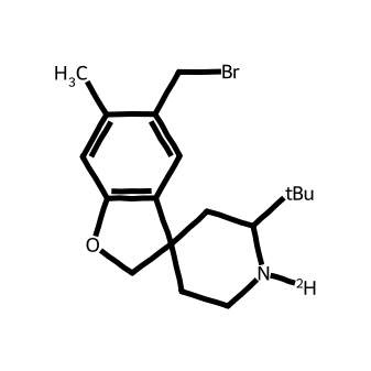 [2H]N1CCC2(COc3cc(C)c(CBr)cc32)CC1C(C)(C)C